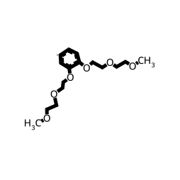 COCCOCCOc1c[c]ccc1OCCOCCOC